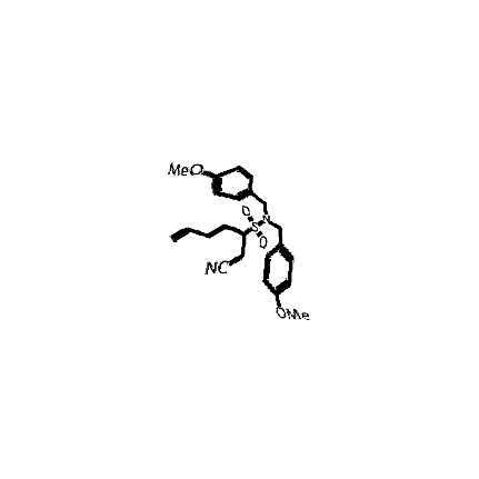 C=CCCC(CC#N)S(=O)(=O)N(Cc1ccc(OC)cc1)Cc1ccc(OC)cc1